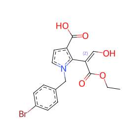 CCOC(=O)/C(=C\O)c1c(C(=O)O)ccn1Cc1ccc(Br)cc1